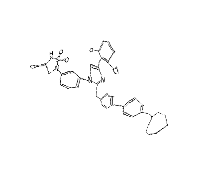 O=C1CN(c2cccc(-n3cc(-c4c(Cl)cccc4Cl)nc3Cc3ccc(-c4ccc(C5CCCCC5)cc4)cc3)c2)S(=O)(=O)N1